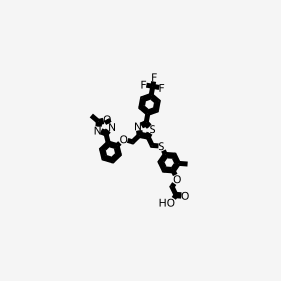 Cc1nc(-c2ccccc2OCc2nc(-c3ccc(C(F)(F)F)cc3)sc2CSc2ccc(OCC(=O)O)c(C)c2)no1